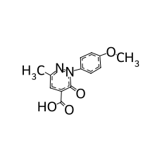 COc1ccc(-n2nc(C)cc(C(=O)O)c2=O)cc1